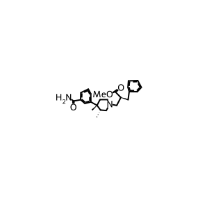 COC(=O)[C@@H](Cc1ccccc1)CN1CC[C@@](C)(c2cccc(C(N)=O)c2)[C@@H](C)C1